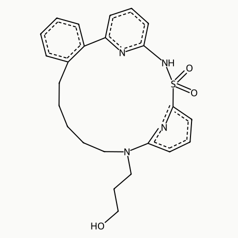 O=S1(=O)Nc2cccc(n2)-c2ccccc2CCCCCN(CCCO)c2cccc1n2